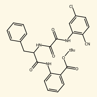 CC(C)(C)OC(=O)c1ccccc1NC(=O)C(Cc1ccccc1)NC(=O)C(=O)Nc1cc(Cl)ccc1C#N